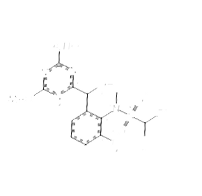 COc1nc(C=O)nc(C(O)c2cccc(Cl)c2N(C)S(=O)(=O)C(F)F)n1